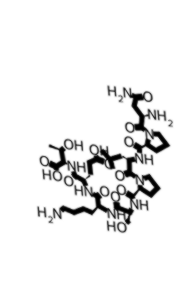 CC(C)C[C@H](NC(=O)[C@@H]1CCCN1C(=O)[C@@H](N)CC(N)=O)C(=O)N1CCC[C@H]1C(=O)N[C@@H](CO)C(=O)N[C@@H](CCCCN)C(=O)N[C@@H](CCC(=O)O)C(=O)N[C@H](C(=O)O)[C@@H](C)O